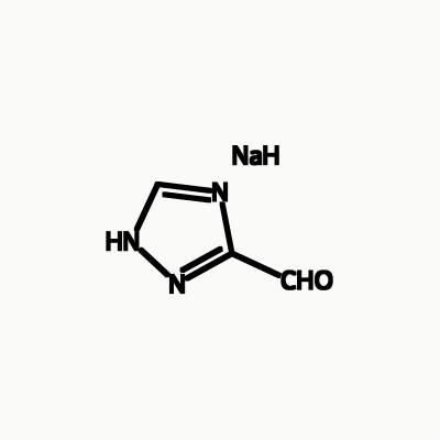 O=Cc1nc[nH]n1.[NaH]